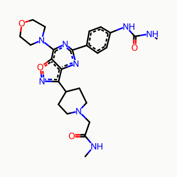 CNC(=O)CN1CCC(c2noc3c(N4CCOCC4)nc(-c4ccc(NC(=O)NC)cc4)nc23)CC1